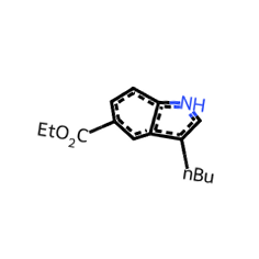 CCCCc1c[nH]c2ccc(C(=O)OCC)cc12